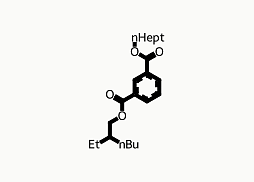 CCCCCCCOC(=O)c1cccc(C(=O)OCC(CC)CCCC)c1